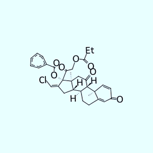 CCC(=O)OCC(=O)[C@]1(OC(=O)c2ccccc2)C(=CCl)C[C@H]2[C@@H]3CCC4=CC(=O)C=C[C@]4(C)[C@H]3C(=O)C[C@@]21C